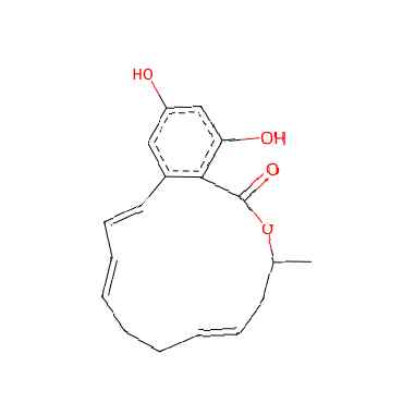 CC1C/C=C/CC/C=C/C=C/c2cc(O)cc(O)c2C(=O)O1